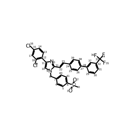 CS(=O)(=O)c1ccc(Cn2cc(-c3ccc(Cl)cc3Cl)nc2C=Cc2ccc(-c3cccc(C(F)(F)F)c3)cc2)cc1